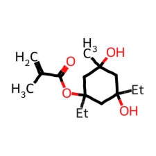 C=C(C)C(=O)OC1(CC)CC(C)(O)CC(O)(CC)C1